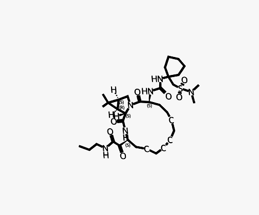 CCCNC(=O)C(=O)[C@@H]1CCCCCCCCC[C@H](NC(=O)NC2(CS(=O)(=O)N(C)C)CCCCC2)C(=O)N2C[C@H]3[C@@H]([C@H]2C(=O)N1)C3(C)C